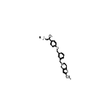 Cc1cc2c(s1)CCN(Cc1cccc(COc3ccc(C(C#N)CC(=O)O)cc3)c1)C2